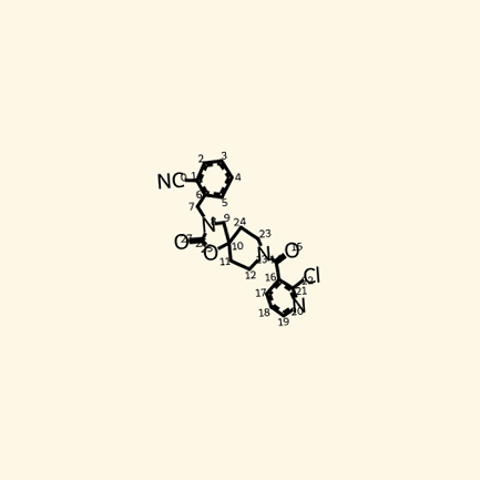 N#Cc1ccccc1CN1CC2(CCN(C(=O)c3cccnc3Cl)CC2)OC1=O